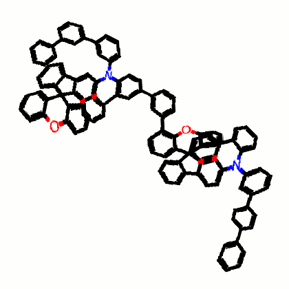 c1ccc(-c2ccc(-c3cccc(N(c4ccc5c(c4)C4(c6ccccc6Oc6c(-c7cccc(-c8ccc(N(c9cccc(-c%10cccc(-c%11ccccc%11)c%10)c9)c9ccc%10c(c9)-c9ccccc9C%109c%10ccccc%10Oc%10ccccc%109)c(-c9ccccc9)c8)c7)cccc64)c4ccccc4-5)c4ccccc4-c4ccccc4)c3)cc2)cc1